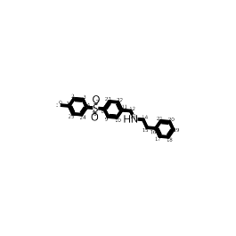 [CH]c1ccc(S(=O)(=O)c2ccc(CNCCc3ccccc3)cc2)cc1